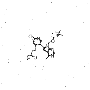 COC(=O)CCc1cc(Cl)ncc1-c1cc2c(C)ncnc2n1COCC[Si](C)(C)C